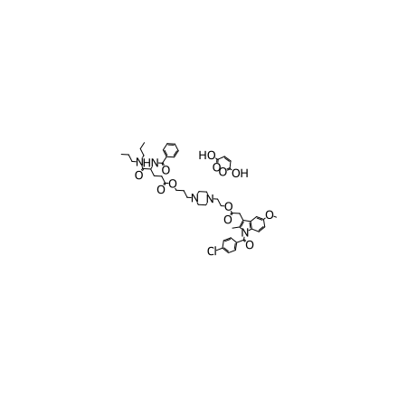 CCCN(CCC)C(=O)C(CCC(=O)OCCCN1CCN(CCOC(=O)Cc2c(C)n(C(=O)c3ccc(Cl)cc3)c3ccc(OC)cc23)CC1)NC(=O)c1ccccc1.O=C(O)/C=C\C(=O)O